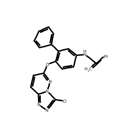 C=C(Nc1ccc(Oc2ccc3nnc(Cl)n3n2)c(-c2ccccc2)c1)C(C)C